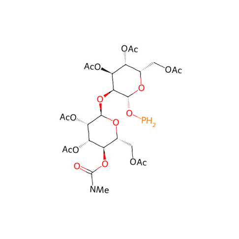 CNC(=O)O[C@H]1[C@H](OC(C)=O)[C@H](OC(C)=O)[C@@H](O[C@@H]2[C@@H](OP)O[C@@H](COC(C)=O)[C@@H](OC(C)=O)[C@@H]2OC(C)=O)O[C@@H]1COC(C)=O